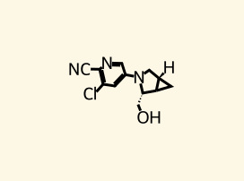 N#Cc1ncc(N2C[C@@H]3CC3[C@@H]2CO)cc1Cl